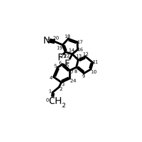 C=CCc1cccc(-c2ccccc2C2(F)CC=CC(C#N)=C2F)c1